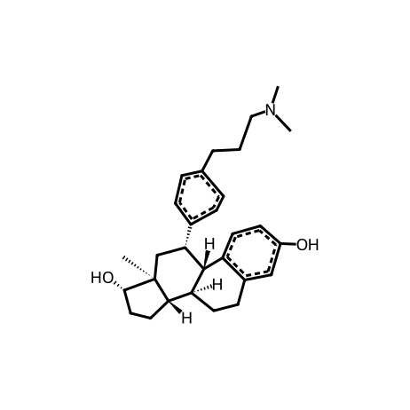 CN(C)CCCc1ccc([C@H]2C[C@]3(C)[C@@H](O)CC[C@H]3[C@@H]3CCc4cc(O)ccc4[C@H]32)cc1